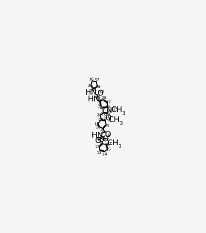 COc1cc(C(=O)NS(=O)(=O)c2ccccc2C)ccc1Cc1cn(C)c2ccc(NC(=O)NC3CCCC3)cc12